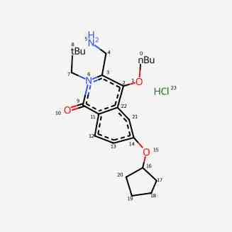 CCCCOc1c(CN)n(CC(C)(C)C)c(=O)c2ccc(OC3CCCC3)cc12.Cl